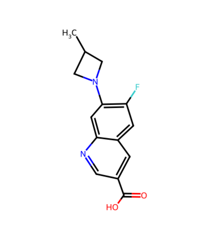 CC1CN(c2cc3ncc(C(=O)O)cc3cc2F)C1